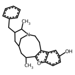 CC1CC2CC(Cc3ccccc3)C(C)N(CCc3c1oc1ccc(O)cc31)C2